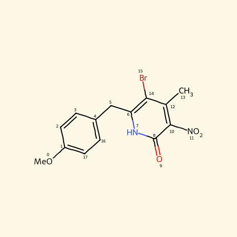 COc1ccc(Cc2[nH]c(=O)c([N+](=O)[O-])c(C)c2Br)cc1